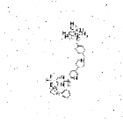 CC(C)(C)[Si](C)(C)OCC1CCC(CN2CCC(c3ccc(Nc4ncc(C(F)(F)F)c(N5OCC[C@H]5c5ccccc5)n4)nc3)CC2)CC1